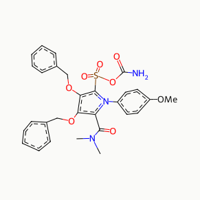 COc1ccc(-n2c(C(=O)N(C)C)c(OCc3ccccc3)c(OCc3ccccc3)c2S(=O)(=O)OC(N)=O)cc1